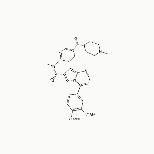 COc1ccc(-c2ccnc3cc(C(=O)N(C)c4ccc(C(=O)N5CCN(C)CC5)cc4)nn23)cc1OC